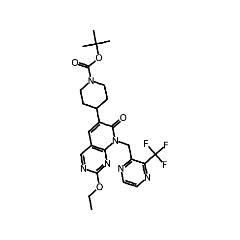 CCOc1ncc2cc(C3CCN(C(=O)OC(C)(C)C)CC3)c(=O)n(Cc3nccnc3C(F)(F)F)c2n1